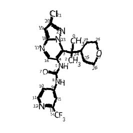 CC(C)(c1c(NC(=O)Nc2ccnc(C(F)(F)F)c2)cnc2cc(Cl)nn12)C1CCOCC1